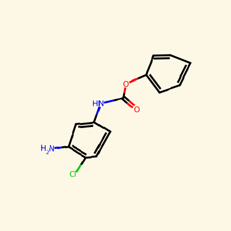 Nc1cc(NC(=O)Oc2ccccc2)ccc1Cl